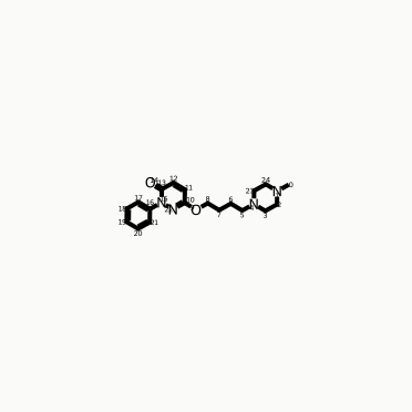 CN1CCN(CCCCOc2ccc(=O)n(-c3ccccc3)n2)CC1